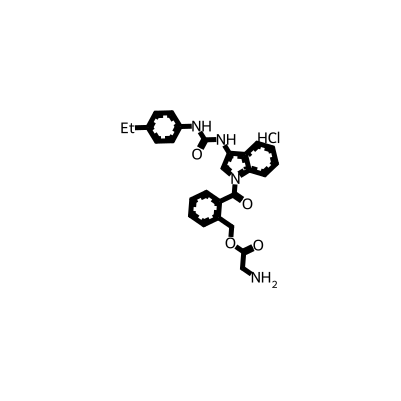 CCc1ccc(NC(=O)Nc2cn(C(=O)c3ccccc3COC(=O)CN)c3ccccc23)cc1.Cl